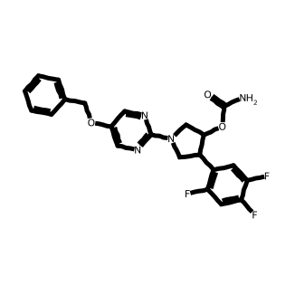 NC(=O)OC1CN(c2ncc(OCc3ccccc3)cn2)CC1c1cc(F)c(F)cc1F